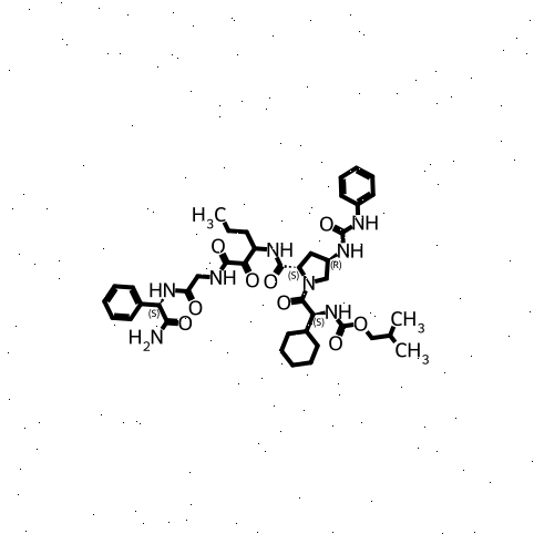 CCCC(NC(=O)[C@@H]1C[C@@H](NC(=O)Nc2ccccc2)CN1C(=O)[C@@H](NC(=O)OCC(C)C)C1CCCCC1)C(=O)C(=O)NCC(=O)N[C@H](C(N)=O)c1ccccc1